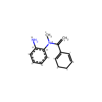 C=C(C1=CCCC=C1)N(C)c1ccccc1N